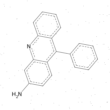 Nc1ccc2c(-c3ccccc3)c3ccccc3nc2c1